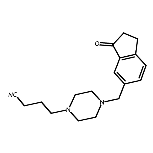 N#CCCCN1CCN(Cc2ccc3c(c2)C(=O)CC3)CC1